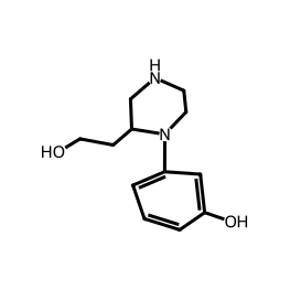 OCCC1CNCCN1c1cccc(O)c1